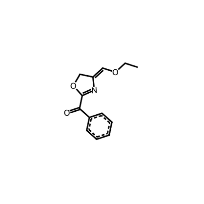 CCOC=C1COC(C(=O)c2ccccc2)=N1